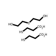 O=C(O)CCS.O=C(O)CCS.OCCSCCO